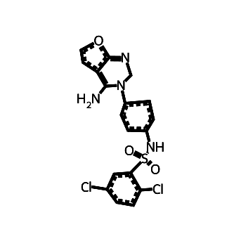 NC1=c2ccoc2=NCN1c1ccc(NS(=O)(=O)c2cc(Cl)ccc2Cl)cc1